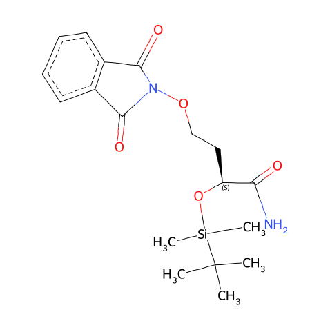 CC(C)(C)[Si](C)(C)O[C@@H](CCON1C(=O)c2ccccc2C1=O)C(N)=O